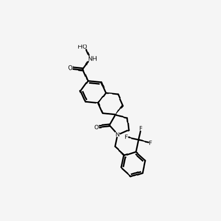 O=C(NO)C1=CC2CC[C@]3(CCN(Cc4ccccc4C(F)(F)F)C3=O)CC2C=C1